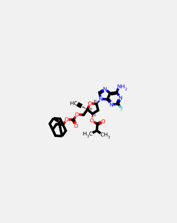 C#C[C@]1(COC(=O)OC23CC4CC(CC(C4)C2)C3)O[C@@H](n2cnc3c(N)nc(F)nc32)C[C@@H]1OC(=O)C(C)C